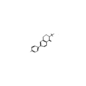 CCOC(=O)C(C)(C)C1CCc2cc(-c3ccc(N)cc3)ccc2C1=O